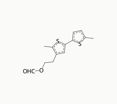 Cc1ccc(-c2cc(CCOC=O)c(C)s2)s1